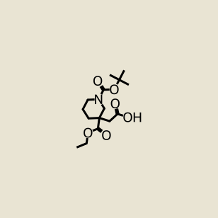 CCOC(=O)C1(CC(=O)O)CCCN(C(=O)OC(C)(C)C)C1